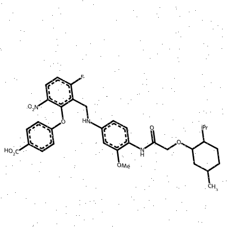 COc1cc(NCc2c(F)ccc([N+](=O)[O-])c2Oc2ccc(C(=O)O)cc2)ccc1NC(=O)COC1CC(C)CCC1C(C)C